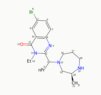 CCCC(c1nc2ccc(Br)cc2c(=O)n1CC)N1CCCN[C@@H](C)C1